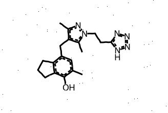 Cc1cc(Cc2c(C)nn(CCc3nnn[nH]3)c2C)c2c(c1O)CCC2